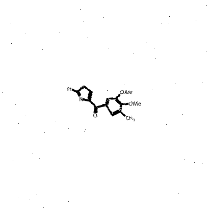 CCC1=NC(C(=O)c2cc(C)c(OC)c(OC)c2)=CC1